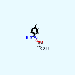 Cc1ccc(/C(N)=N/OC(=O)CC(=O)O)cc1